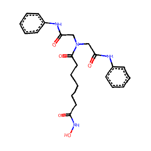 O=C(CCCCCC(=O)N(CC(=O)Nc1ccccc1)CC(=O)Nc1ccccc1)NO